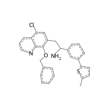 Cc1ccc(-c2cccc(C(N)Cc3cc(Cl)c4cccnc4c3OCc3ccccc3)c2)s1